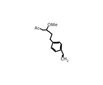 C=Cc1ccc(CCC(CC(C)=O)OC)cc1